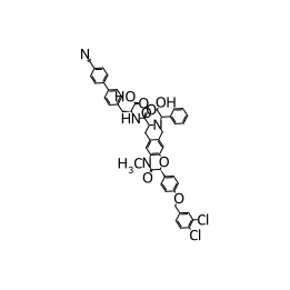 CN1C(=O)[C@H](c2ccc(OCc3ccc(Cl)c(Cl)c3)cc2)Oc2cc3c(cc21)CC(C(=O)N[C@@H](Cc1ccc(-c2ccc(C#N)cc2)cc1)C(=O)O)N(C(C(=O)O)c1ccccc1)C3